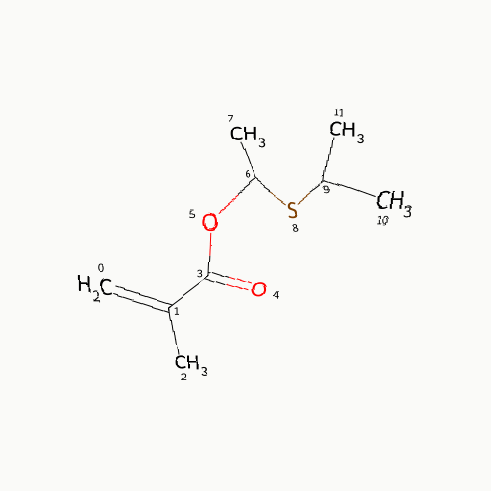 C=C(C)C(=O)OC(C)SC(C)C